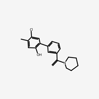 C=C(c1cccc(-c2cc(Cl)c(C)cc2O)c1)N1CCCCC1